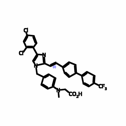 CN(CC(=O)O)c1ccc(Cn2cc(-c3ccc(Cl)cc3Cl)nc2/C=C/c2ccc(-c3ccc(C(F)(F)F)cc3)cc2)cc1